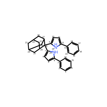 c1ccc(-c2ccc(C3(c4ccc(-c5ccccc5)[nH]4)C4CC5CC(C4)CC3C5)[nH]2)cc1